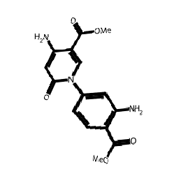 COC(=O)c1ccc(-n2cc(C(=O)OC)c(N)cc2=O)cc1N